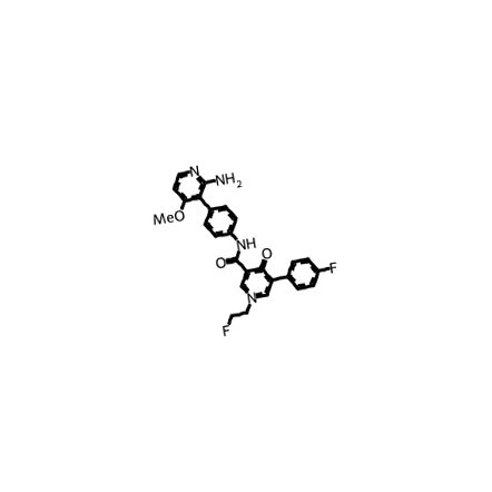 COc1ccnc(N)c1-c1ccc(NC(=O)c2cn(CCF)cc(-c3ccc(F)cc3)c2=O)cc1